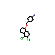 Clc1ccc2c(OCc3ccc(I)cc3)cccc2c1Cl